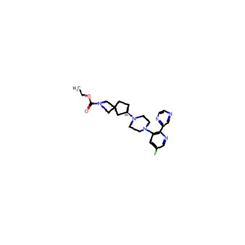 CCOC(=O)N1CC2(CC[C@@H](N3CCN(c4cc(F)cnc4-c4cnccn4)CC3)C2)C1